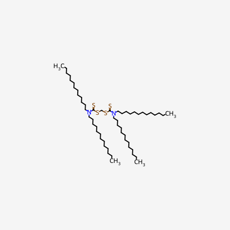 CCCCCCCCCCCCCN(CCCCCCCCCCCCC)C(=S)SCSC(=S)N(CCCCCCCCCCCCC)CCCCCCCCCCCCC